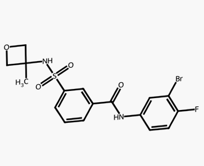 CC1(NS(=O)(=O)c2cccc(C(=O)Nc3ccc(F)c(Br)c3)c2)COC1